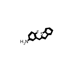 Nc1ccc(F)c(Cc2cc3ccccc3s2)c1